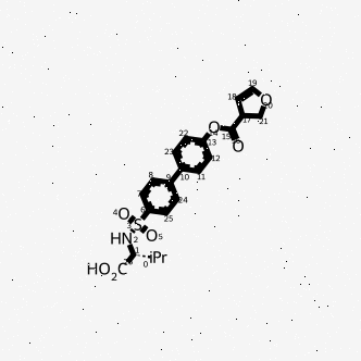 CC(C)[C@@H](NS(=O)(=O)c1ccc(-c2ccc(OC(=O)C3C=COC3)cc2)cc1)C(=O)O